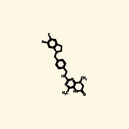 Cc1nc(NCc2ccc(CN3CCc4cc(F)c(F)cc43)cc2)nc2c1NC(=O)CN2C